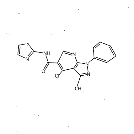 Cc1nn(-c2ccccc2)c2ncc(C(=O)Nc3nccs3)c(Cl)c12